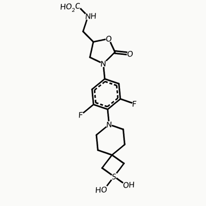 O=C(O)NCC1CN(c2cc(F)c(N3CCC4(CC3)CS(O)(O)C4)c(F)c2)C(=O)O1